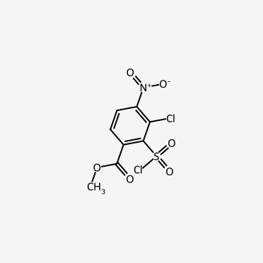 COC(=O)c1ccc([N+](=O)[O-])c(Cl)c1S(=O)(=O)Cl